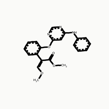 COC=C(C(=O)OC)c1ccccc1Oc1cc(Nc2ccccc2)ncn1